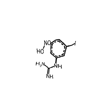 N=C(N)Nc1cccc(I)c1.O=[N+]([O-])O